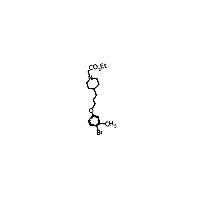 CCOC(=O)CN1CCC(CCCOc2ccc(Br)c(C)c2)CC1